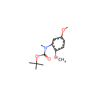 C.COc1ccc(Br)c(N(C)C(=O)OC(C)(C)C)c1